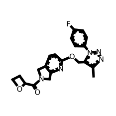 Cc1nnn(-c2ccc(F)cc2)c1COc1ccc2c(n1)CN(C(=O)C1CCO1)C2